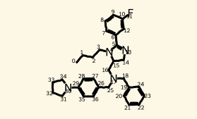 CCCCN1C(c2cccc(F)c2)=NCC1CN(Cc1ccccc1)Cc1ccc(N2CCCC2)cc1